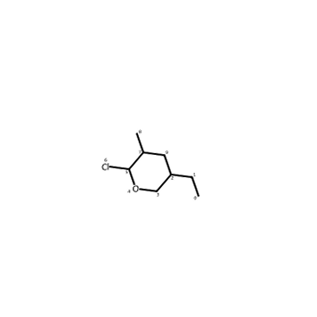 CCC1COC(Cl)C(C)C1